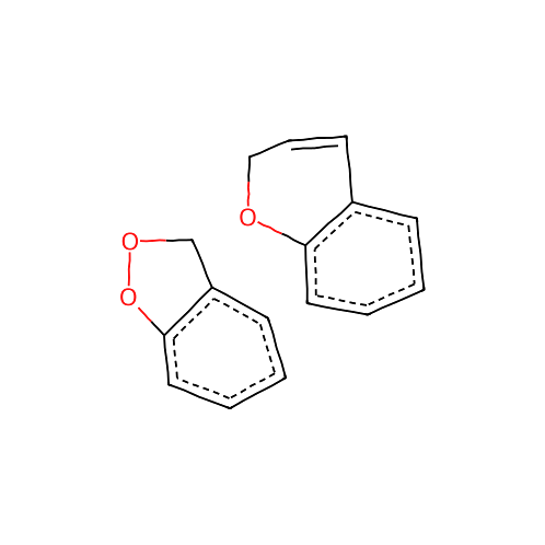 C1=Cc2ccccc2OC1.c1ccc2c(c1)COO2